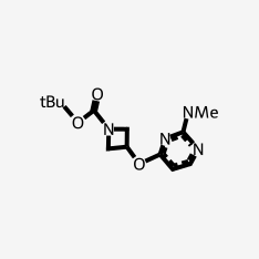 CNc1nccc(OC2CN(C(=O)OC(C)(C)C)C2)n1